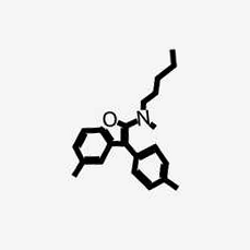 CCCCCN(C)c1oc2ccc(C)cc2c1-c1ccc(C)cc1